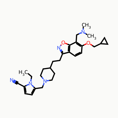 CCn1c(C#N)ccc1CN1CCC(CCc2noc3c(CN(C)C)c(OCC4CC4)ccc23)CC1